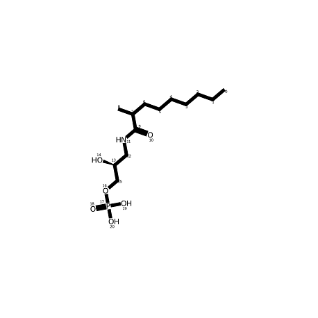 CCCCCCCC(C)C(=O)NC[C@H](O)COP(=O)(O)O